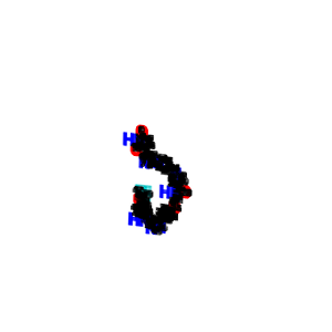 O=C1CCC(c2cncc(N3CCC(CN4CCC(C(=O)NCCOc5ccc(-c6cc(Nc7ccc(OC(F)(F)F)cc7)ncn6)cc5)CC4)CC3)c2)C(=O)N1